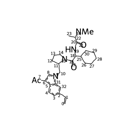 C=Cc1ccc2c(C(C)=O)cn(CC3CCCN3C(=O)C(NC(=O)C(C)NC)C3CCCCC3)c2c1